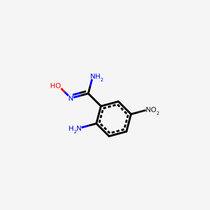 NC(=NO)c1cc([N+](=O)[O-])ccc1N